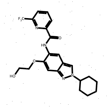 O=C(Nc1cc2cn(C3CCCCC3)nc2cc1OCCO)c1cccc(C(F)(F)F)n1